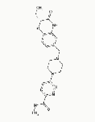 CC[C@H]1Oc2ccc(CN3CCN(c4ccc(C(=O)NC)nn4)CC3)cc2NC1=O